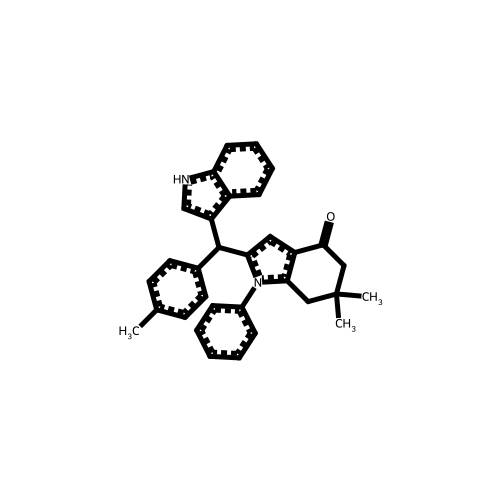 Cc1ccc(C(c2c[nH]c3ccccc23)c2cc3c(n2-c2ccccc2)CC(C)(C)CC3=O)cc1